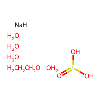 O.O.O.O.O.O.O.O=S(O)O.[NaH]